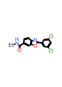 CCNC(=O)c1ccc2nc(-c3cc(Cl)cc(Cl)c3)oc2c1